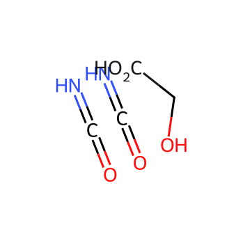 N=C=O.N=C=O.O=C(O)CO